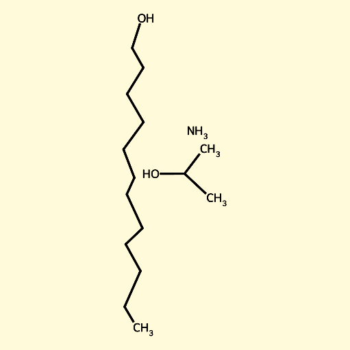 CC(C)O.CCCCCCCCCCCCO.N